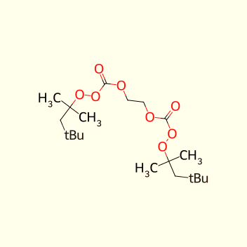 CC(C)(C)CC(C)(C)OOC(=O)OCCOC(=O)OOC(C)(C)CC(C)(C)C